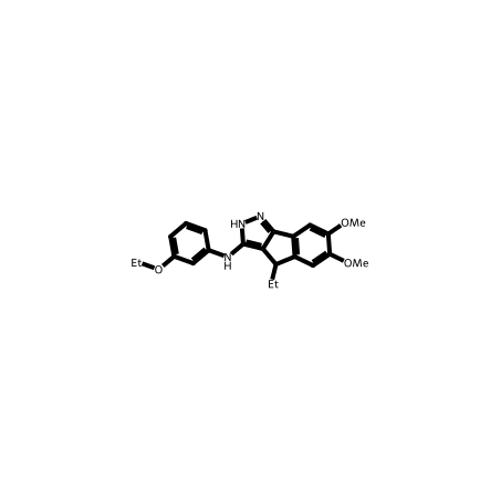 CCOc1cccc(Nc2[nH]nc3c2C(CC)c2cc(OC)c(OC)cc2-3)c1